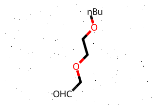 CCCCOCCOC[C]=O